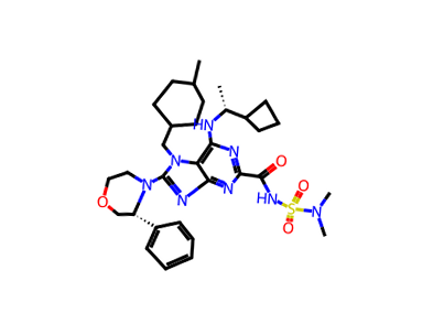 CC1CCC(Cn2c(N3CCOC[C@H]3c3ccccc3)nc3nc(C(=O)NS(=O)(=O)N(C)C)nc(N[C@H](C)C4CCC4)c32)CC1